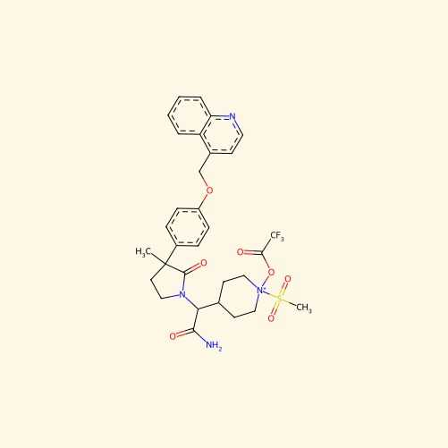 CC1(c2ccc(OCc3ccnc4ccccc34)cc2)CCN(C(C(N)=O)C2CC[N+](OC(=O)C(F)(F)F)(S(C)(=O)=O)CC2)C1=O